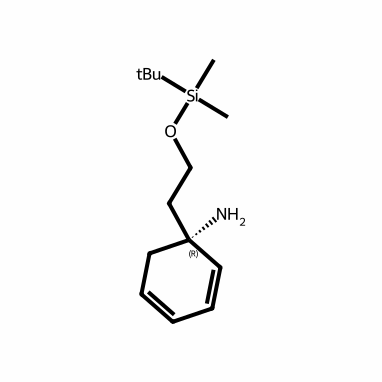 CC(C)(C)[Si](C)(C)OCC[C@@]1(N)C=CC=CC1